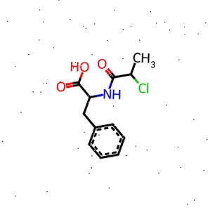 CC(Cl)C(=O)NC(Cc1ccccc1)C(=O)O